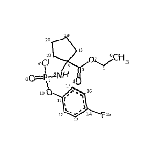 CCOC(=O)C1(NP(=O)(Cl)Oc2ccc(F)cc2)CCCC1